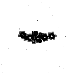 O=C(Nc1ccc(C2CCCCC2)cc1)C1=C(O)CC2(CCN(Cc3ccccc3)CC2)NC1=O